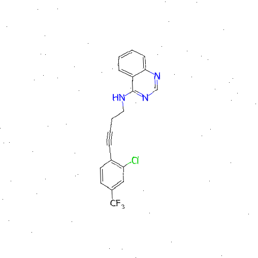 FC(F)(F)c1ccc(C#CCCNc2ncnc3ccccc23)c(Cl)c1